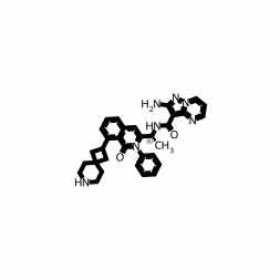 C[C@H](NC(=O)c1c(N)nn2cccnc12)c1cc2cccc(C3CC4(CCNCC4)C3)c2c(=O)n1-c1ccccc1